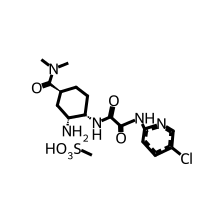 CN(C)C(=O)[C@H]1CC[C@H](NC(=O)C(=O)Nc2ccc(Cl)cn2)[C@H](N)C1.CS(=O)(=O)O